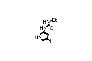 CCNC(=O)NC1=CC(I)=CNC1